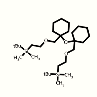 CC(C)(C)[Si](C)(C)CCOCC1(OC2(COCC[Si](C)(C)C(C)(C)C)CCCCC2)CCCCC1